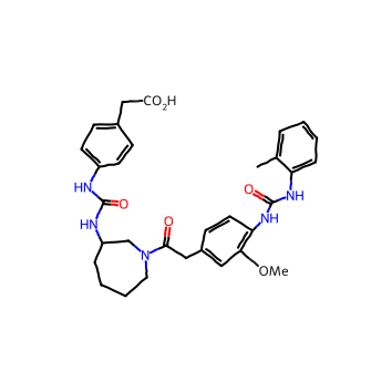 COc1cc(CC(=O)N2CCCCC(NC(=O)Nc3ccc(CC(=O)O)cc3)C2)ccc1NC(=O)Nc1ccccc1C